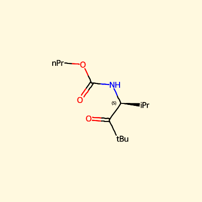 CCCOC(=O)N[C@H](C(=O)C(C)(C)C)C(C)C